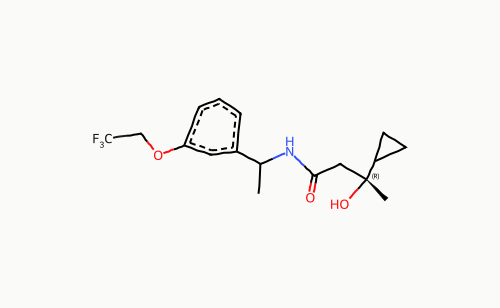 CC(NC(=O)C[C@@](C)(O)C1CC1)c1cccc(OCC(F)(F)F)c1